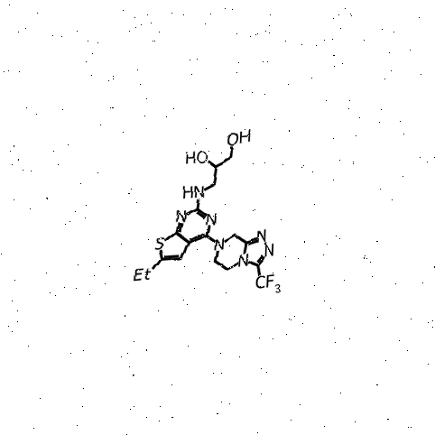 CCc1cc2c(N3CCn4c(nnc4C(F)(F)F)C3)nc(NCC(O)CO)nc2s1